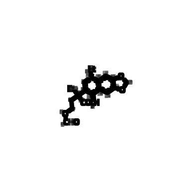 CCn1cc(C(CC)(CCOC=O)C(=O)O)c(=O)c2cc3c(cc21)OCO3